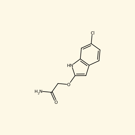 NC(=O)COc1cc2ccc(Cl)cc2[nH]1